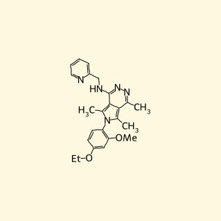 CCOc1ccc(-n2c(C)c3c(C)nnc(NCc4ccccn4)c3c2C)c(OC)c1